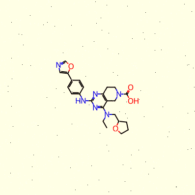 CCN(CC1CCCO1)c1nc(Nc2ccc(-c3cnco3)cc2)nc2c1CN(C(=O)O)CC2